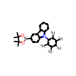 [2H]c1c([2H])c([2H])c(-n2c3ccccc3c3cc(B4OC(C)(C)C(C)(C)O4)ccc32)c([2H])c1[2H]